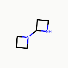 [CH]1CNC1N1CCC1